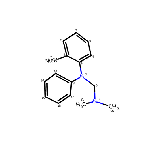 CNc1ccccc1N(CN(C)C)c1ccccc1